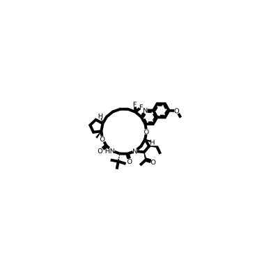 CC[C@@H]1[C@@H]2CN(C(=O)[C@H](C(C)(C)C)NC(=O)O[C@]3(C)CCC[C@H]3CCCCC(F)(F)c3nc4ccc(OC)cc4cc3O2)[C@@H]1C(C)=O